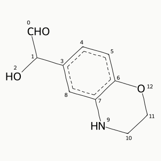 O=CC(O)c1ccc2c(c1)NCCO2